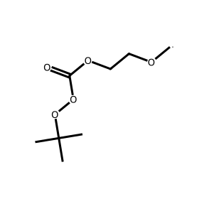 [CH2]OCCOC(=O)OOC(C)(C)C